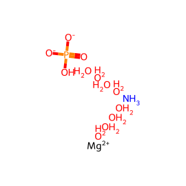 N.O.O.O.O.O.O.O.O.O=P([O-])([O-])O.[Mg+2]